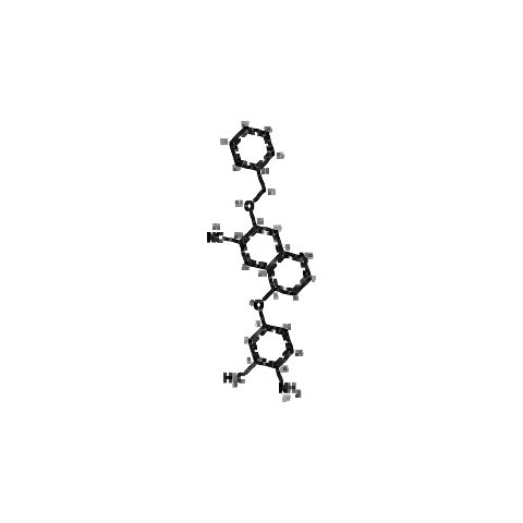 Cc1cc(Oc2ccnc3cc(OCc4ccccc4)c(C#N)cc23)ccc1N